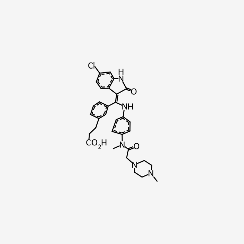 CN1CCN(CC(=O)N(C)c2ccc(N/C(=C3\C(=O)Nc4cc(Cl)ccc43)c3cccc(CCC(=O)O)c3)cc2)CC1